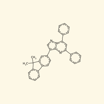 CC1(C)c2ccccc2-c2ccc(-c3cnn4c(-c5ccccc5)cc(-c5ccccc5)nc34)cc21